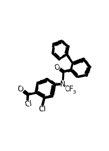 O=C(Cl)c1ccc(N(C(=O)c2ccccc2-c2ccccc2)C(F)(F)F)cc1Cl